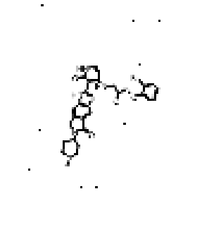 CN1CCC(N2Cc3cc4[nH]c(-c5c(NCC(=O)COc6ccccc6Br)cc[nH]c5=O)nc4cc3C2=O)CC1